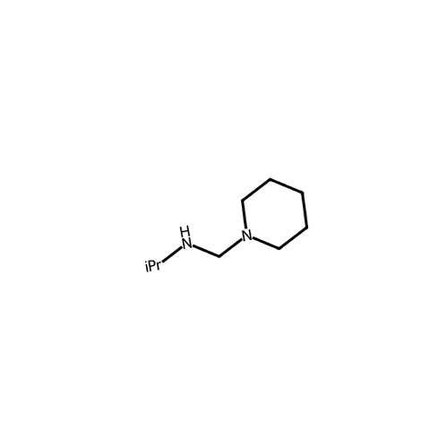 CC(C)NCN1CCCCC1